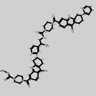 CCCOC(=O)N1CCN(C(=O)c2ccc3c(Cl)c4c(nc3c2)C[C@H](c2cc(C(C)COC(=O)N3CCN(C(=O)c5ccc6c(Cl)c7c(nc6c5)C[C@@H](c5ccccn5)CC7)CC3)ccn2)CC4)CC1